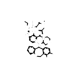 CCOP(=O)(N[C@@H](CC(C)C)C(=O)OC)Oc1c2n(ccc1=O)N([C@@H]1c3ccccc3SCc3c1ccc(F)c3F)[C@@H]1COCCN1C2=O